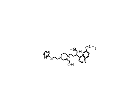 COc1ccc2nccc(C(CC[C@@H]3CCN(CCSc4nccs4)C[C@@H]3CO)NO)c2c1